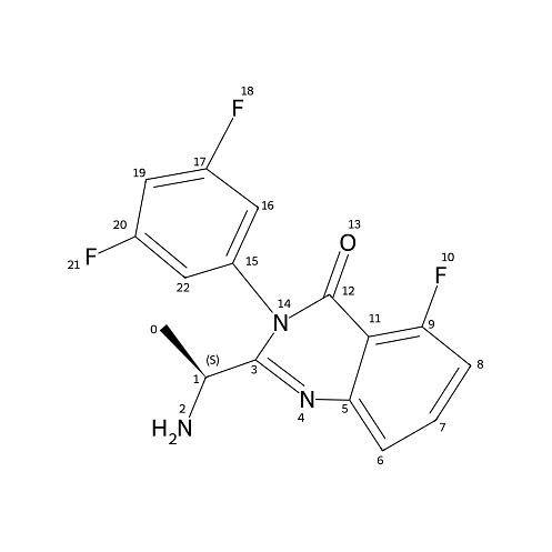 C[C@H](N)c1nc2cccc(F)c2c(=O)n1-c1cc(F)cc(F)c1